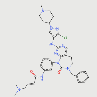 CN(C)C/C=C/C(=O)Nc1cccc(N2C(=O)N(Cc3ccccc3)CCc3cnc(Nc4cn(C5CCN(C)CC5)nc4Cl)nc32)c1